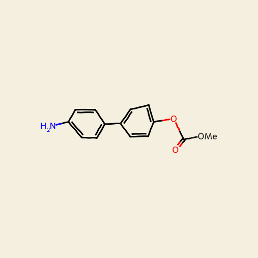 COC(=O)Oc1ccc(-c2ccc(N)cc2)cc1